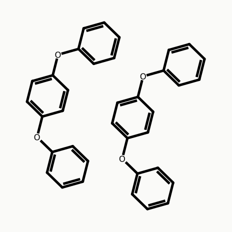 c1ccc(Oc2ccc(Oc3ccccc3)cc2)cc1.c1ccc(Oc2ccc(Oc3ccccc3)cc2)cc1